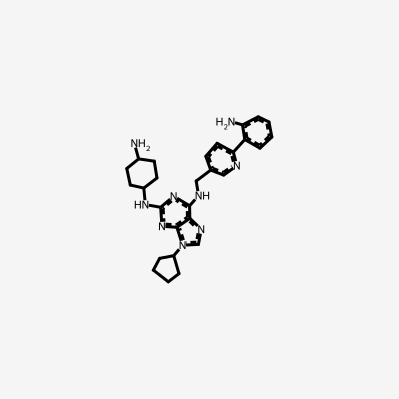 Nc1ccccc1-c1ccc(CNc2nc(NC3CCC(N)CC3)nc3c2ncn3C2CCCC2)cn1